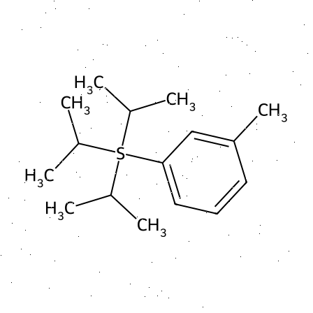 Cc1cccc(S(C(C)C)(C(C)C)C(C)C)c1